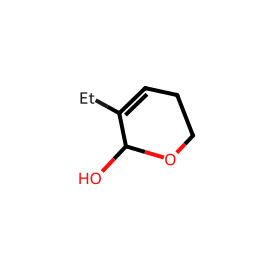 CCC1=CCCOC1O